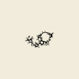 Cc1cc2nn1CCCC1CN(c3nc(-n4ccc(OCCC5(C(F)(F)F)CC5)n4)ccc3C(=O)NS2)C(C)(C)C1